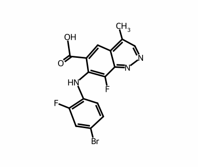 Cc1cnnc2c(F)c(Nc3ccc(Br)cc3F)c(C(=O)O)cc12